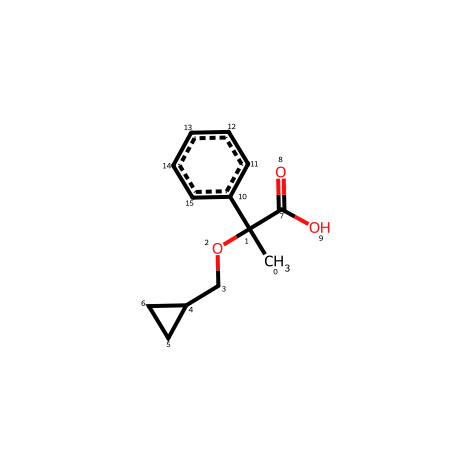 CC(OCC1CC1)(C(=O)O)c1ccccc1